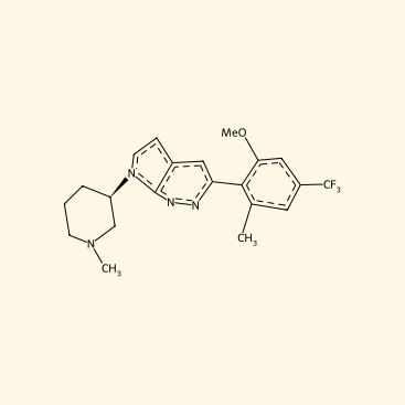 COc1cc(C(F)(F)F)cc(C)c1-c1cc2ccn([C@@H]3CCCN(C)C3)c2nn1